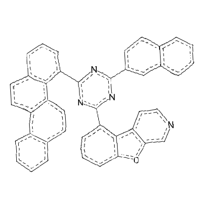 c1ccc2cc(-c3nc(-c4cccc5ccc6c7ccccc7ccc6c45)nc(-c4cccc5oc6cnccc6c45)n3)ccc2c1